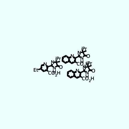 CC(C)C1(C)N=C(c2nc3ccccc3cc2C(=O)O)NC1=O.CC(C)C1(C)N=C(c2nc3ccccc3cc2C(=O)O)NC1=O.CCc1cnc(C2=NC(C)(C(C)C)C(=O)N2)c(C(=O)O)c1